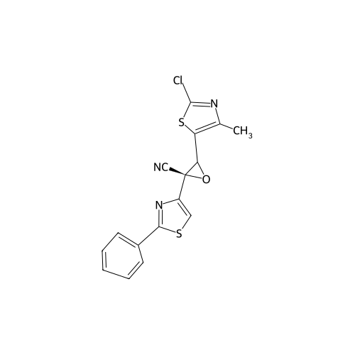 Cc1nc(Cl)sc1C1O[C@]1(C#N)c1csc(-c2ccccc2)n1